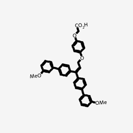 COc1cccc(-c2ccc(C(=CCOc3ccc(OCC(=O)O)cc3)c3ccc(-c4cccc(OC)c4)cc3)cc2)c1